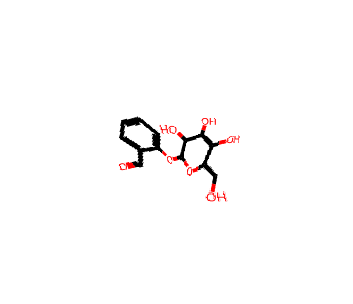 O=Cc1ccccc1OC1OC(CO)C(O)C(O)C1O